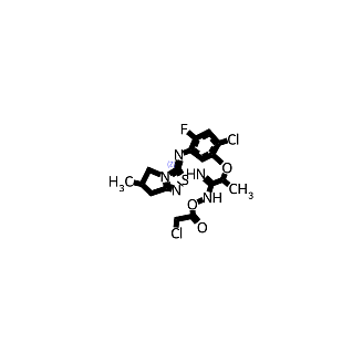 CC1Cc2ns/c(=N\c3cc(OC(C)C(=N)NOC(=O)CCl)c(Cl)cc3F)n2C1